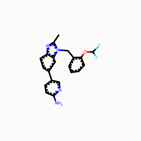 Cc1nc2ccc(-c3ccc(N)nc3)cc2n1Cc1ccccc1OC(F)F